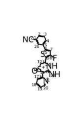 N#Cc1cccc(-c2cc(F)c(C3C[S+]([O-])C(c4ccccn4)C(=N)N3)s2)c1